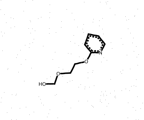 OCOCCOc1ccccn1